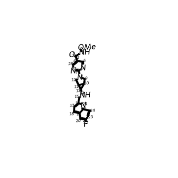 CONC(=O)c1cnc(N2CC3C(C2)C3NCc2ccc3cc(F)ccc3n2)nc1